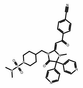 CN1C(=CC(=O)c2ccc(C#N)cc2)N(CC2CCN(S(=O)(=O)N(C)C)CC2)C(=O)C1(c1ccncc1)c1ccncc1